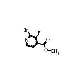 COC(=O)c1ccnc(Br)c1F